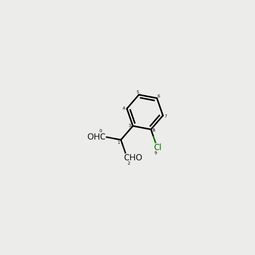 O=CC(C=O)c1ccccc1Cl